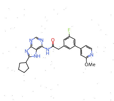 COc1cc(-c2cc(F)cc(CC(=O)Nc3ncnc4nc(C5CCCC5)[nH]c34)c2)ccn1